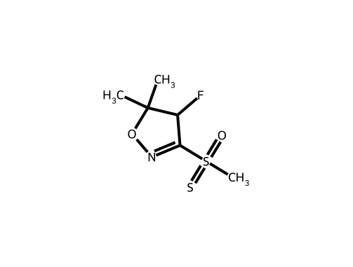 CC1(C)ON=C(S(C)(=O)=S)C1F